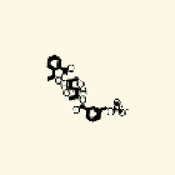 CC(=O)c1ccccc1C(=O)O[C@H]1CO[C@H]2[C@@H]1OC[C@H]2OC(=O)c1cccc(CO[N+](=O)[O-])c1